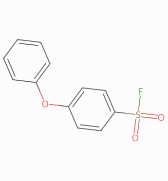 O=S(=O)(F)c1ccc(Oc2ccccc2)cc1